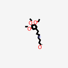 CCOc1cc(CC/C=C/CC[C]=O)cc(OCC)c1OCC